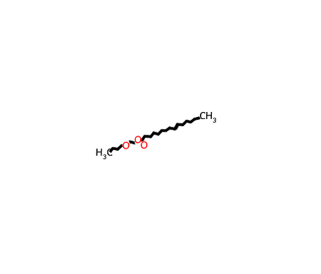 CCCCCCC=CCCCCCCCC(=O)OCCOCCCC